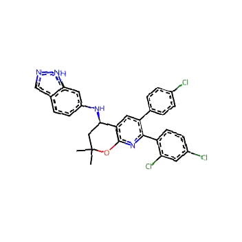 CC1(C)C[C@@H](Nc2ccc3cn[nH]c3c2)c2cc(-c3ccc(Cl)cc3)c(-c3ccc(Cl)cc3Cl)nc2O1